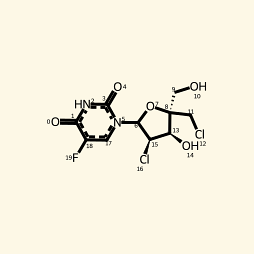 O=c1[nH]c(=O)n(C2O[C@@](CO)(CCl)[C@@H](O)[C@H]2Cl)cc1F